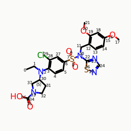 CCN(c1ccc(S(=O)(=O)N(Cc2ccc(OC)cc2OC)c2ncns2)cc1Cl)[C@H]1CCN(C(=O)O)C1